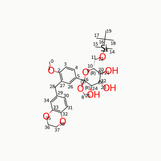 COc1ccc([C@]2(OC)O[C@H](CO[Si](C)(C)C(C)(C)C)[C@@H](O)[C@H](O)[C@H]2O)cc1Cc1ccc2c(c1)OCCO2